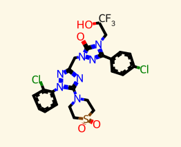 O=c1n(Cc2nc(N3CCS(=O)(=O)CC3)n(-c3ccccc3Cl)n2)nc(-c2ccc(Cl)cc2)n1CC(O)C(F)(F)F